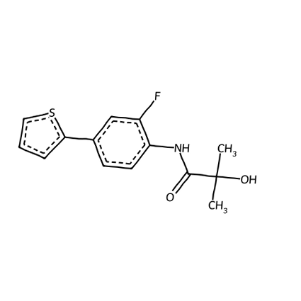 CC(C)(O)C(=O)Nc1ccc(-c2cccs2)cc1F